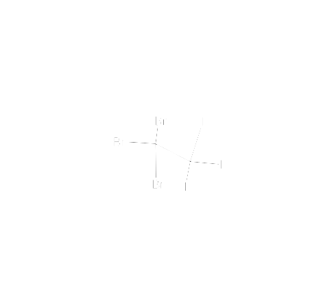 BrC(Br)(Br)C(I)(I)I